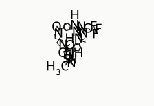 Cc1nnc(NC(=O)C(=O)N2CCC3(CCN(C(=O)c4ccc(Nc5nc(NC6(c7ccc(Cl)cc7)CC6)nc(OCC(F)(F)F)n5)cc4)C3)C2)s1